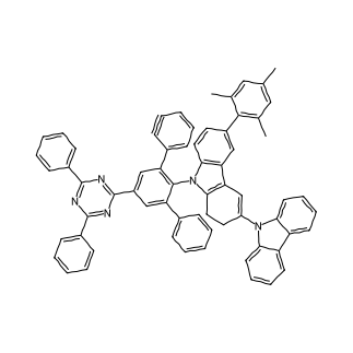 Cc1cc(C)c(-c2ccc3c(c2)c2c(n3-c3c(-c4c#cccc4)cc(-c4nc(-c5ccccc5)nc(-c5ccccc5)n4)cc3-c3ccccc3)CCC(n3c4ccccc4c4ccccc43)=C2)c(C)c1